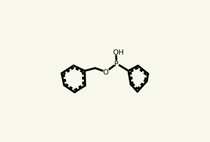 OP(OCc1ccccc1)c1ccccc1